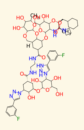 CC(=O)NC1C(OC2CC(C(=O)NCCNC(=O)[C@H]3CC(n4cc(-c5cccc(F)c5)nn4)C(O)[C@H](OC4OC(CO)C(O)C(N5C=C(c6cccc(F)c6)NN5)C4O)C3)C[C@H]3COC4C(OC(C)C(O)C4O)OC23)OC(CO)C(O)C1O[C@@H](CC1CCCCC1)C(=O)N1CCC1